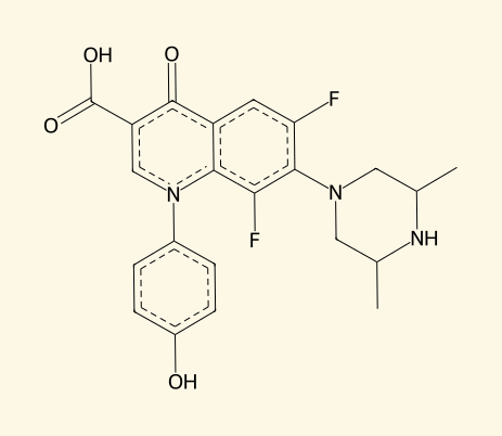 CC1CN(c2c(F)cc3c(=O)c(C(=O)O)cn(-c4ccc(O)cc4)c3c2F)CC(C)N1